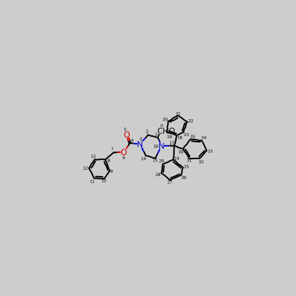 O=C[C@@H]1CN(C(=O)OCc2ccccc2)CCN1C(c1ccccc1)(c1ccccc1)c1ccccc1